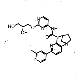 Cc1cc(-c2ccc3c(n2)N(C(=O)Nc2ccnc(OC[C@@H](O)CO)n2)C2CCN3C2)ccn1